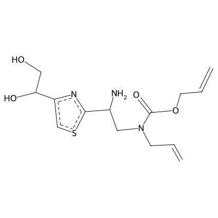 C=CCOC(=O)N(CC=C)CC(N)c1nc(C(O)CO)cs1